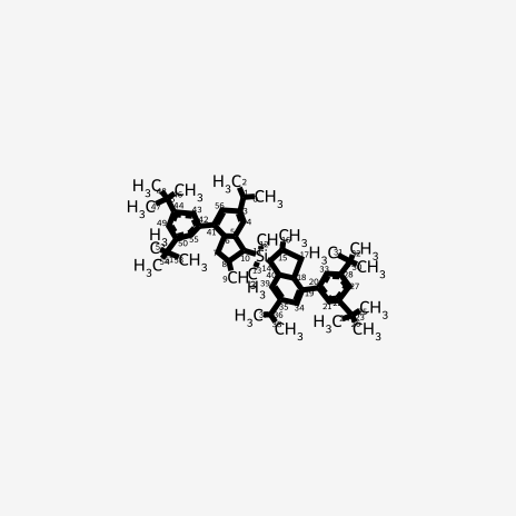 CC(C)C1=CC2C(CC(C)C2[Si](C)(C)C2C(C)CC3C(c4cc(C(C)(C)C)cc(C(C)(C)C)c4)=CC(C(C)C)=CC32)C(c2cc(C(C)(C)C)cc(C(C)(C)C)c2)=C1